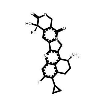 CC[C@@]1(O)C(=O)OCc2c1cc1n(c2=O)Cc2c-1nc1cc(F)c(C3CC3)c3c1c2[C@@H](N)CC3